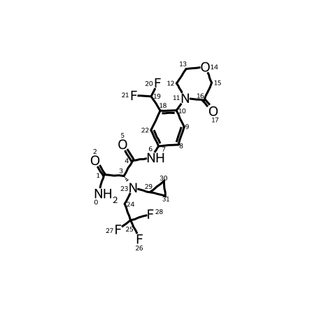 NC(=O)[C@H](C(=O)Nc1ccc(N2CCOCC2=O)c(C(F)F)c1)N(CC(F)(F)F)C1CC1